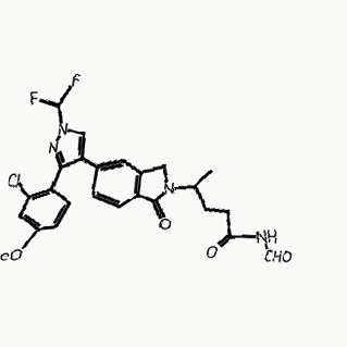 COc1ccc(-c2nn(C(F)F)cc2-c2ccc3c(c2)CN(C(C)CCC(=O)NC=O)C3=O)c(Cl)c1